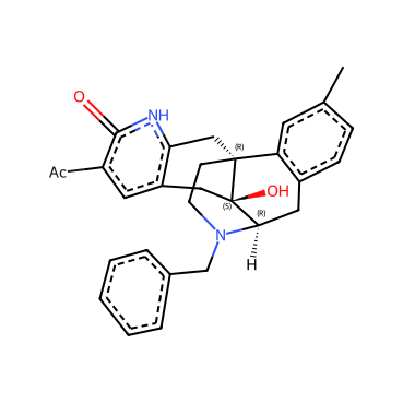 CC(=O)c1cc2c([nH]c1=O)C[C@]13CCN(Cc4ccccc4)[C@H](Cc4ccc(C)cc41)[C@]3(O)C2